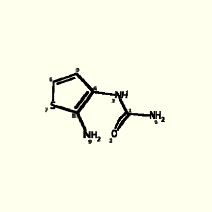 NC(=O)Nc1ccsc1N